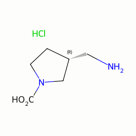 Cl.NC[C@H]1CCN(C(=O)O)C1